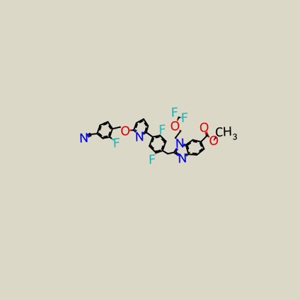 COC(=O)c1ccc2nc(Cc3cc(F)c(-c4cccc(OCc5ccc(C#N)cc5F)n4)cc3F)n(CCOC(F)F)c2c1